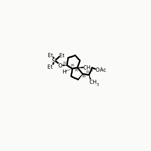 CC[Si](CC)(CC)O[C@H]1CCC[C@]2(C)[C@@H]([C@H](C)COC(C)=O)CC[C@@H]12